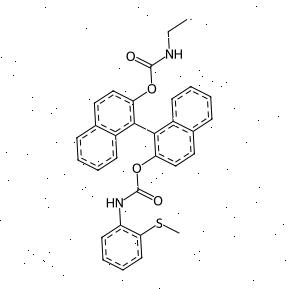 [CH2]CNC(=O)Oc1ccc2ccccc2c1-c1c(OC(=O)Nc2ccccc2SC)ccc2ccccc12